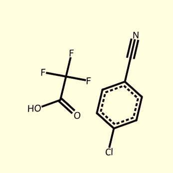 N#Cc1ccc(Cl)cc1.O=C(O)C(F)(F)F